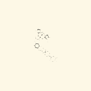 CN(Cc1ccc(CN2CCC3(CCN(C4CCCCC4)CC3)C2)cc1)CC(C#N)(Cc1ncc[nH]1)Cc1ncc[nH]1